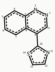 [c]1nnc2ccccc2c1-c1nccs1